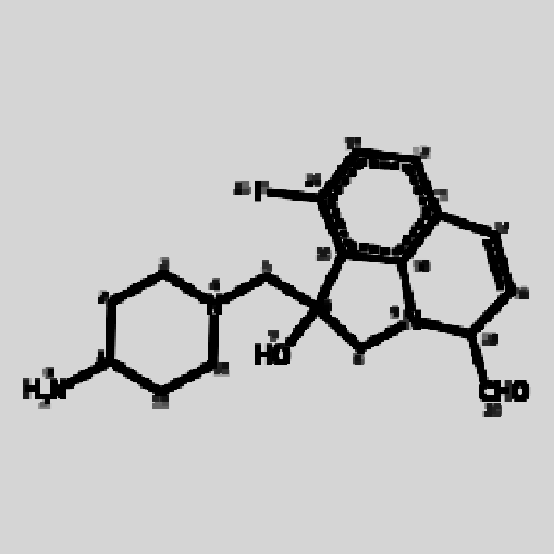 NC1CCN(CC2(O)CN3c4c(ccc(F)c42)C=CC3C=O)CC1